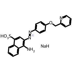 Nc1c(/N=N/c2ccc(OCc3ccccn3)cc2)cc(S(=O)(=O)O)c2ccccc12.[NaH]